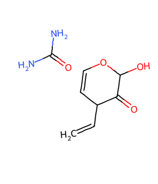 C=CC1C=COC(O)C1=O.NC(N)=O